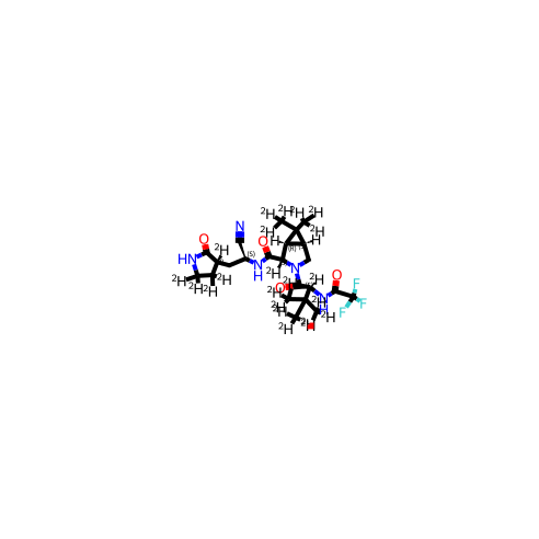 [2H]C([2H])([2H])C1(C([2H])([2H])[2H])[C@H]2[C@@H]1CN(C(=O)[C@@]([2H])(NC(=O)C(F)(F)F)C(C([2H])([2H])[2H])(C([2H])([2H])[2H])C([2H])([2H])[2H])[C@]2([2H])C(=O)N[C@H](C#N)C[C@@]1([2H])C(=O)NC([2H])([2H])C1([2H])[2H]